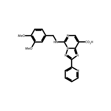 COc1ccc(CNc2ncc(C(=O)O)c3nc(-c4ccccn4)nn23)cc1OC